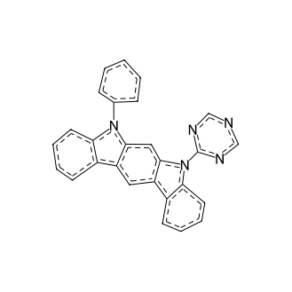 c1ccc(-n2c3ccccc3c3cc4c5ccccc5n(-c5ncncn5)c4cc32)cc1